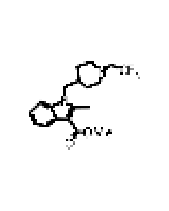 COC(=O)c1c(C)n(CC2CCN(CC(F)(F)F)CC2)c2ccccc12